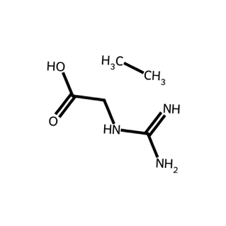 CC.N=C(N)NCC(=O)O